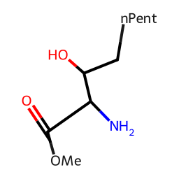 CCCCCCC(O)C(N)C(=O)OC